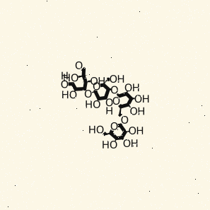 O=C[C@H](O)[C@@H](O)[C@H](O[C@@H]1O[C@H](CO)[C@@H](O[C@@H]2O[C@H](CO[C@@H]3O[C@H](CO)[C@@H](O)[C@H](O)[C@H]3O)[C@@H](O)[C@H](O)[C@H]2O)[C@H](O)[C@H]1O)[C@H](O)CO